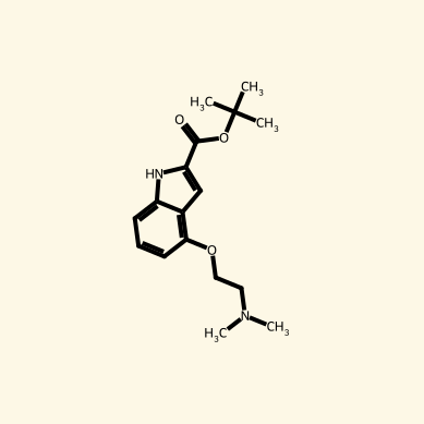 CN(C)CCOc1cccc2[nH]c(C(=O)OC(C)(C)C)cc12